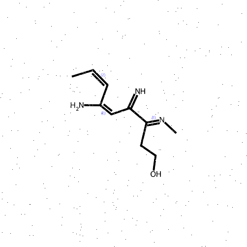 C/C=C\C(N)=C/C(=N)/C(CCO)=N/C